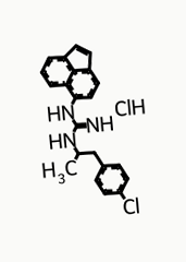 CC(Cc1ccc(Cl)cc1)NC(=N)Nc1ccc2c3c(cccc13)C=C2.Cl